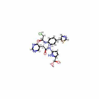 COC(=O)c1ccc(NC(=O)[C@H](c2cncnc2)N(C(=O)CCl)c2ccc(-c3cncs3)cc2)[nH]1